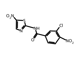 O=C(Nc1ncc([N+](=O)[O-])s1)c1ccc([N+](=O)[O-])c(Cl)c1